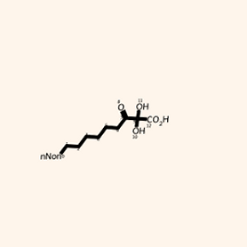 CCCCCCCCCCCCCCCC(=O)C(O)(O)C(=O)O